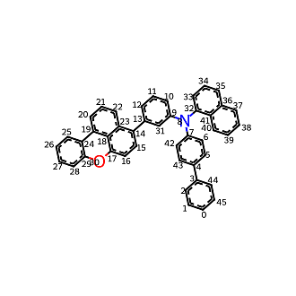 c1ccc(-c2ccc(N(c3cccc(-c4ccc5c6c(cccc46)-c4ccccc4O5)c3)c3cccc4ccccc34)cc2)cc1